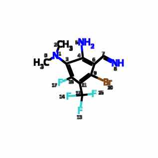 CN(C)c1c(N)c(C=N)c(Br)c(C(F)(F)F)c1F